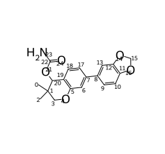 CC1(C)COc2cc(-c3ccc4c(c3)OCO4)ccc2C1OC(N)=O